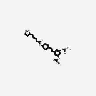 CC(=O)Oc1cc(/C=C/c2ccc(OC(=O)CCCCC3CCSS3)cc2)cc(OC(C)=O)c1